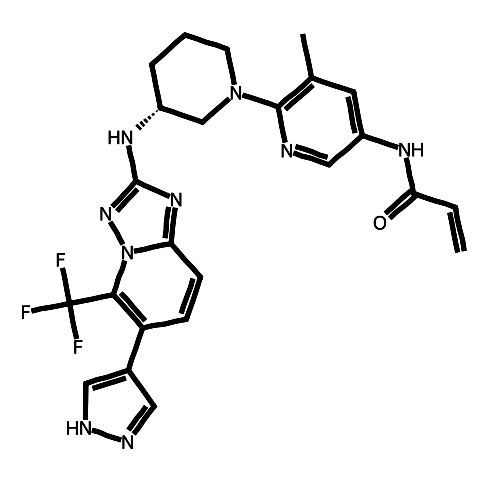 C=CC(=O)Nc1cnc(N2CCC[C@@H](Nc3nc4ccc(-c5cn[nH]c5)c(C(F)(F)F)n4n3)C2)c(C)c1